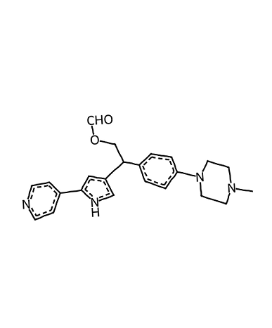 CN1CCN(c2ccc(C(COC=O)c3c[nH]c(-c4ccncc4)c3)cc2)CC1